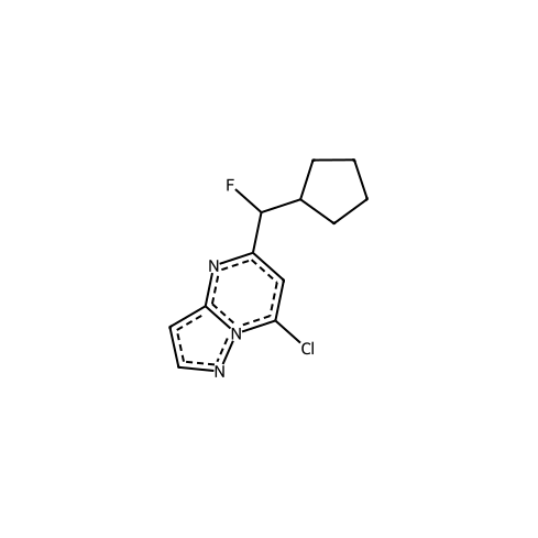 FC(c1cc(Cl)n2nccc2n1)C1CCCC1